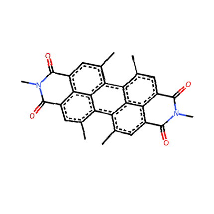 Cc1cc2c3c(cc(C)c4c5c(C)cc6c7c(cc(C)c(c1c34)c75)C(=O)N(C)C6=O)C(=O)N(C)C2=O